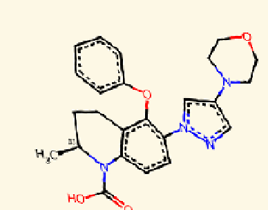 C[C@H]1CCc2c(ccc(-n3cc(N4CCOCC4)cn3)c2Oc2ccccc2)N1C(=O)O